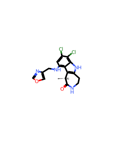 C[C@H]1C(=O)NCCc2[nH]c3c(Cl)c(Cl)cc(NCc4cocn4)c3c21